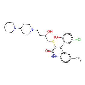 O=c1[nH]c2ccc(C(F)(F)F)cc2c(-c2cc(Cl)ccc2O)c1SCC(O)CCN1CCC(N2CCCCC2)CC1